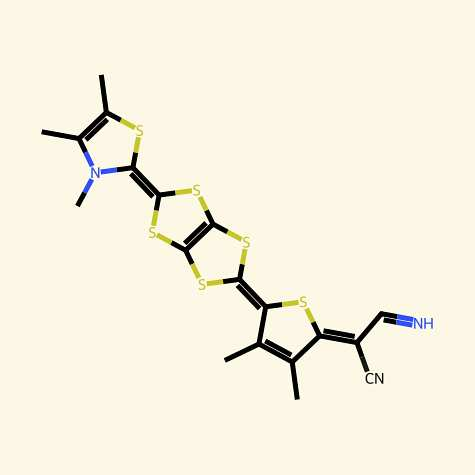 CC1=C(C)N(C)C(=C2SC3=C(S2)SC(=c2s/c(=C(/C#N)C=N)c(C)c2C)S3)S1